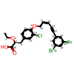 CCO[C@@H](Cc1ccc(OC/C=C\C#Cc2cc(Br)cc(Br)c2)c(Cl)c1)C(=O)O